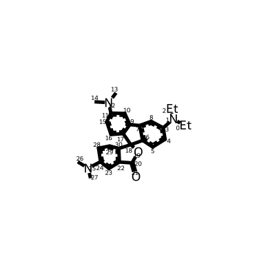 CCN(CC)c1ccc2c(c1)-c1cc(N(C)C)ccc1C21OC(=O)c2cc(N(C)C)ccc21